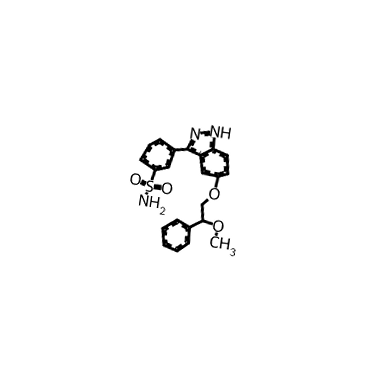 COC(COc1ccc2[nH]nc(-c3cccc(S(N)(=O)=O)c3)c2c1)c1ccccc1